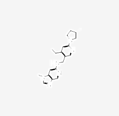 CCc1cc(N2CC[C@H](C)C2)ncc1CNc1cc2c(cn1)ncn2C